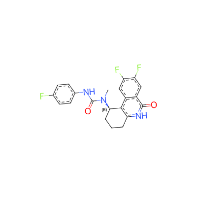 CN(C(=O)Nc1ccc(F)cc1)[C@@H]1CCCc2[nH]c(=O)c3cc(F)c(F)cc3c21